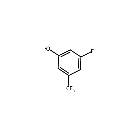 [O]c1cc(F)cc(C(F)(F)F)c1